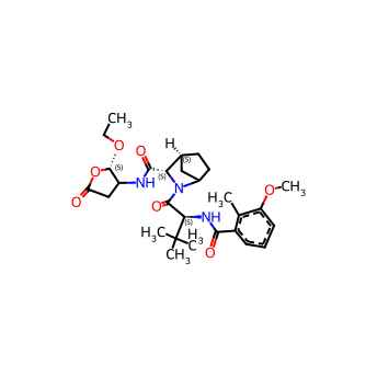 CCO[C@H]1OC(=O)CC1NC(=O)[C@@H]1[C@H]2CCC(C2)N1C(=O)[C@@H](NC(=O)c1cccc(OC)c1C)C(C)(C)C